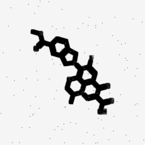 COC(=O)c1ccc2c(c1)CN(c1c(F)cc3c(=O)c(C(=O)O)cn4c3c1OCC4C)C2